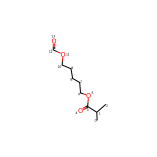 CC(C)C(=O)OCCCCCO[C]=O